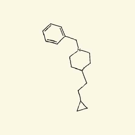 c1ccc(CN2CCC(CCC3CC3)CC2)cc1